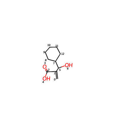 C=C(C(=O)O)C(O)C1CCCCC1